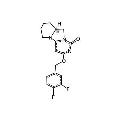 O=c1nc(OCc2ccc(F)c(F)c2)cc2n1C[C@@H]1CCCCN21